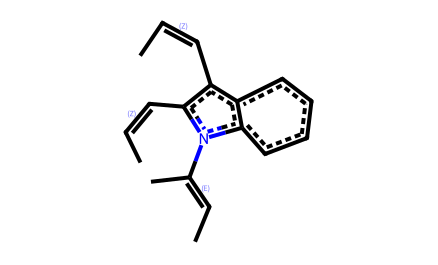 C/C=C\c1c(/C=C\C)n(/C(C)=C/C)c2ccccc12